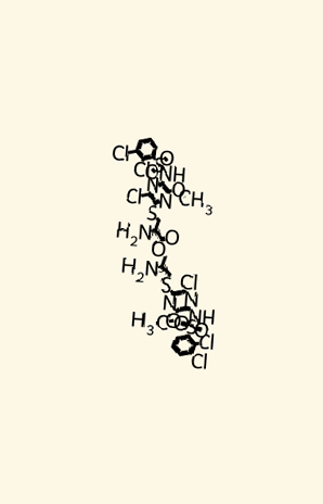 COc1nc(SC[C@@H](N)COC(=O)[C@@H](N)CSc2nc(OC)c(NS(=O)(=O)c3cccc(Cl)c3Cl)nc2Cl)c(Cl)nc1NS(=O)(=O)c1cccc(Cl)c1Cl